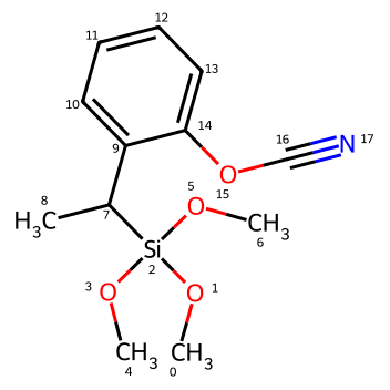 CO[Si](OC)(OC)C(C)c1ccccc1OC#N